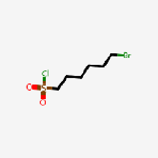 O=S(=O)(Cl)CCCCCCBr